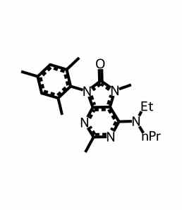 CCCN(CC)c1nc(C)nc2c1n(C)c(=O)n2-c1c(C)cc(C)cc1C